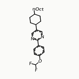 CCCCCCCCC1CCC(c2cnc(-c3ccc(OC(F)F)cc3)nc2)CC1